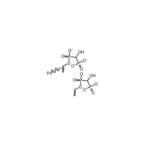 C=COP(=O)([O-])C(O)P(=O)([O-])[O-].C=COP(=O)([O-])C(O)P(=O)([O-])[O-].[Pd+2].[Pd+2].[Pd+2]